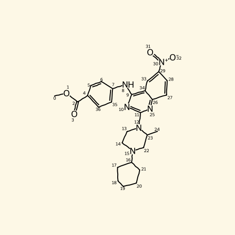 COC(=O)c1ccc(Nc2nc(N3CCN(C4CCCCC4)CC3C)nc3ccc([N+](=O)[O-])cc23)cc1